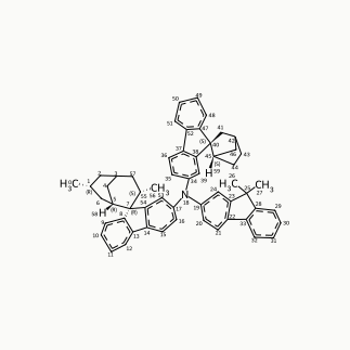 C[C@@H]1CC2C[C@@H](C1)[C@@]1(c3ccccc3-c3ccc(N(c4ccc5c(c4)C(C)(C)c4ccccc4-5)c4ccc5c(c4)[C@]4(CC6CC[C@H]4C6)c4ccccc4-5)cc31)[C@@H](C)C2